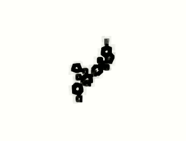 O=c1c(OC2CCCC2)c(N2CCN(S(=O)(=O)N3CCc4cc(F)ccc43)CC2)cnn1-c1cccc(Cl)c1